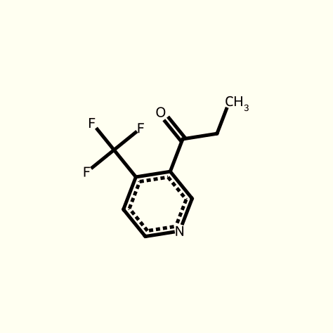 CCC(=O)c1cnccc1C(F)(F)F